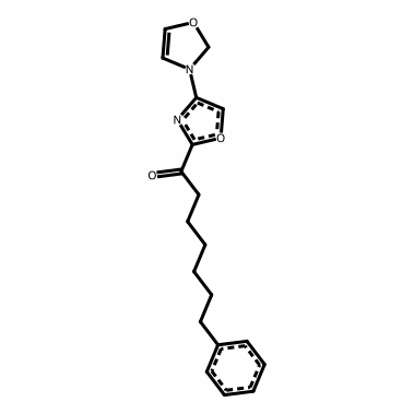 O=C(CCCCCCc1ccccc1)c1nc(N2C=COC2)co1